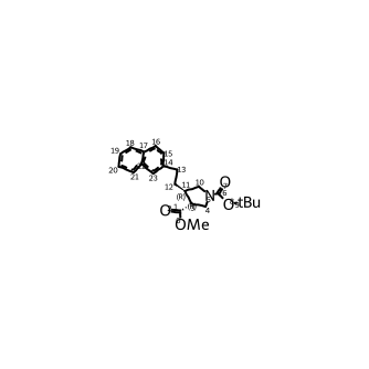 COC(=O)[C@H]1CN(C(=O)OC(C)(C)C)C[C@@H]1CCc1ccc2ccccc2c1